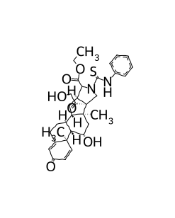 CCOC(=O)C1[C@@H]2C[C@H]3[C@@H]4CCC5=CC(=O)C=C[C@]5(C)[C@H]4[C@@H](O)C[C@]3(C)[C@]2(C(=O)CO)CN1C(=S)Nc1ccccc1